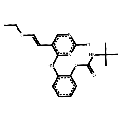 CCOC=Cc1cnc(Cl)nc1Nc1ccccc1OC(=O)NC(C)(C)C